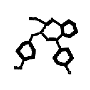 COc1ccc(CN2N=C(c3ccc(Cl)cc3)c3ccccc3N=C2SC)cc1